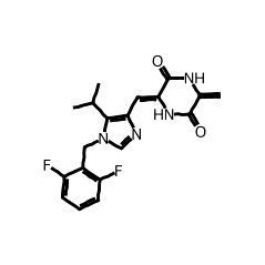 C=c1[nH]c(=O)c(=Cc2ncn(Cc3c(F)cccc3F)c2C(C)C)[nH]c1=O